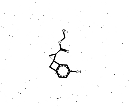 CCOC(=O)[C@@H]1C[C@]12Cc1ccc(O)cc12